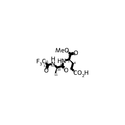 COC(=O)[C@@H](CCC(=O)O)NC(=O)[C@@H](C)NC(=O)C(F)(F)F